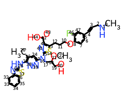 CNCC#Cc1ccc(OCCCc2sc(N(CC(CO)OC)c3cc(C)c(Nc4nc5ccccc5s4)nn3)nc2C(=O)O)c(F)c1